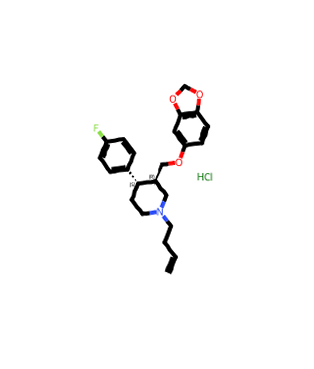 C=CCCN1CC[C@H](c2ccc(F)cc2)[C@@H](COc2ccc3c(c2)OCO3)C1.Cl